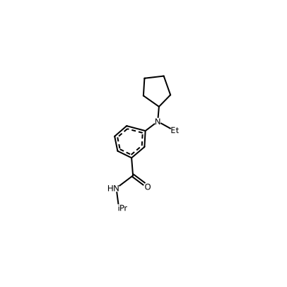 CCN(c1cccc(C(=O)NC(C)C)c1)C1CCCC1